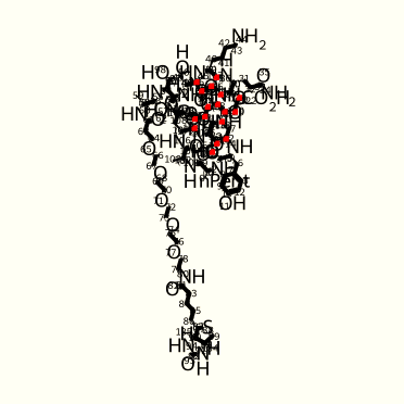 CCCCC[C@@H](NC(=O)[C@H](Cc1ccc(O)cc1)NC(=O)CNC(=O)[C@H](CCC(N)=O)NC(=O)[C@@H](CCC(N)=O)NC(=O)[C@H](CCCCN)NC(=O)[C@@H](CO)NC(=O)C(NC(=O)[C@@H](C)NC(=O)CCOCCOCCOCCOCCOCCNC(=O)CCCC[C@@H]1SC[C@H]2NC(=O)N[C@@H]12)[C@H](C)O)C(=O)N[C@@H](C)C(=O)N[C@@H](CC(N)=O)C(=O)NC(C(=O)N[C@H](CCC(=O)O)C(=O)N[C@@H](C)C(N)=O)[C@@H](C)O